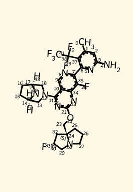 Cc1cc(N)nc(-c2ncc3c(N4C[C@H]5CC[C@@H](C4)N5)nc(OC[C@@]45CCCN4C[C@H](F)C5)nc3c2F)c1C(F)(F)C(F)(F)F